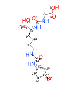 O=C(O)CNC(=O)N[C@@H](CCCCNC(=O)Nc1ccc(Br)cc1)C(=O)O